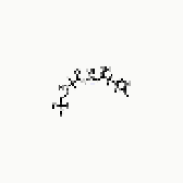 Cc1ncc(C(C)(C)C(=N)/C=C(\O)NC(=O)C(C)(C)NCCC(F)(F)F)o1